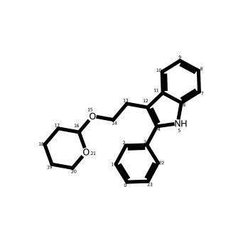 c1ccc(-c2[nH]c3ccccc3c2CCOC2CCCCO2)cc1